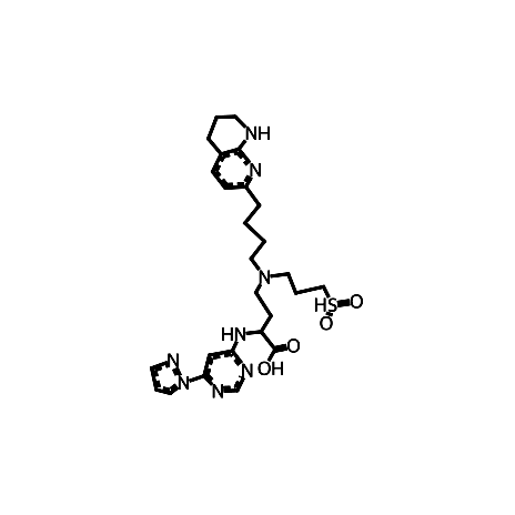 O=C(O)C(CCN(CCCCc1ccc2c(n1)NCCC2)CCC[SH](=O)=O)Nc1cc(-n2cccn2)ncn1